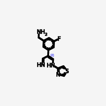 N=C/C(=C\Nc1cscn1)c1cc(F)cc(CN)c1